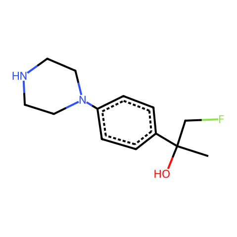 CC(O)(CF)c1ccc(N2CCNCC2)cc1